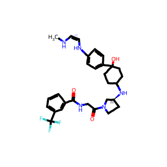 CN/C=C\Nc1ccc(C2(O)CCC(N[C@H]3CCN(C(=O)CNC(=O)c4cccc(C(F)(F)F)c4)C3)CC2)cc1